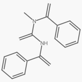 C=C(NC(=C)N(C)C(=C)c1ccccc1)c1ccccc1